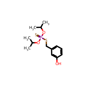 CC(C)OP(=S)(OC(C)C)SCc1cccc(O)c1